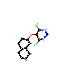 Clc1ncnc(Cl)c1Oc1ccc2ccccc2c1